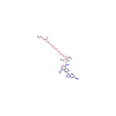 CCOC(=O)COCCOCCOCCOCCOC(C)(C)C(F)CNC(=O)c1cnc(-n2ncc3cc(C#N)cnc32)cc1NC1CC1